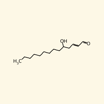 CCCCCCCCCC(O)C/C=C/C=O